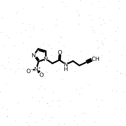 C#CCCNC(=O)Cn1ccnc1[N+](=O)[O-]